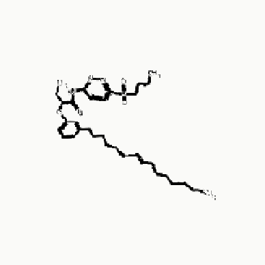 CCCCCCCCCCCCCCCc1cccc(OC(CC)C(=O)Nc2ccc(S(=O)(=O)CCCC)nn2)c1